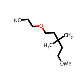 COCCC(C)(C)CCOCCC#N